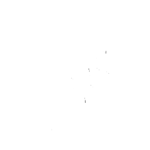 C=CCN1CC(=O)N2[C@@H](Cc3ccc(O)cc3)C(=O)N(Cc3cccc(OC)c3OC3CCCC3)C[C@@H]2N1C(=O)NCc1ccccc1